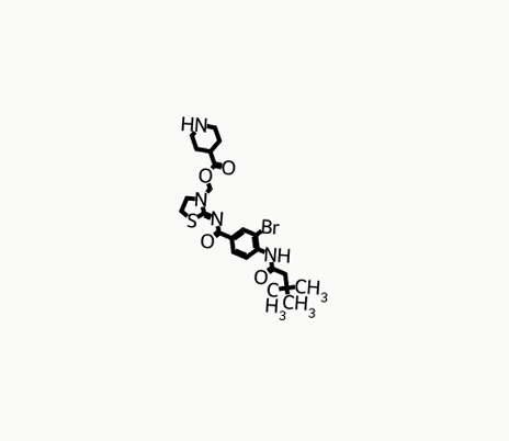 CC(C)(C)CC(=O)Nc1ccc(C(=O)N=C2SCCN2COC(=O)C2CCNCC2)cc1Br